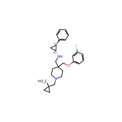 O=C(O)C1(CN2CCC(CN[C@@H]3C[C@H]3c3ccccc3)(COc3cccc(F)c3)CC2)CC1